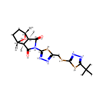 CC(C)(C)c1nnc(SCc2nnc(N3C(=O)[C@@]4(C)[C@@H]5CC[C@@H](O5)[C@@]4(C)C3=O)s2)s1